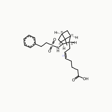 CC1(C)[C@H]2C[C@H](NS(=O)(=O)CCc3ccccc3)[C@@H](C/C=C\CCCC(=O)O)[C@@H]1C2